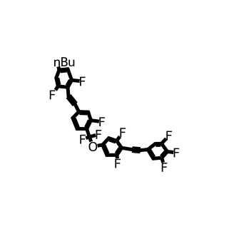 CCCCc1cc(F)c(C#Cc2ccc(C(F)(F)Oc3cc(F)c(C#Cc4cc(F)c(F)c(F)c4)c(F)c3)c(F)c2)c(F)c1